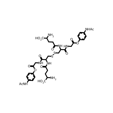 CC(=O)Nc1ccc(OC(=O)CNC(=O)C(CSSCC(NC(=O)CCC(N)C(=O)O)C(=O)NCC(=O)Oc2ccc(NC(C)=O)cc2)NC(=O)CCC(N)C(=O)O)cc1